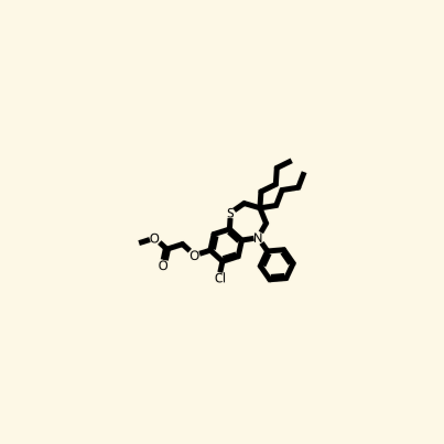 CCCCC1(CCCC)CSc2cc(OCC(=O)OC)c(Cl)cc2N(c2ccccc2)C1